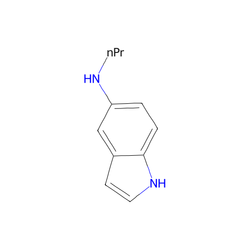 CCCNc1ccc2[nH]ccc2c1